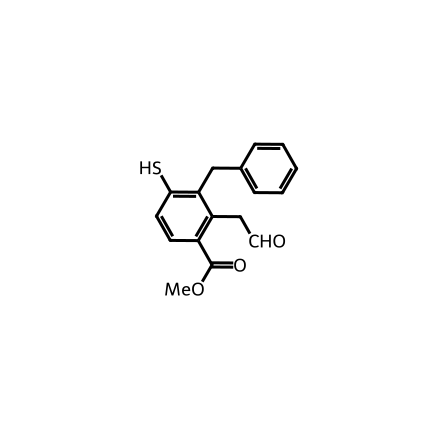 COC(=O)c1ccc(S)c(Cc2ccccc2)c1CC=O